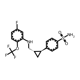 NS(=O)(=O)c1ccc([C@H]2C[C@@H]2CNc2cc(F)ccc2OC(F)(F)F)cc1